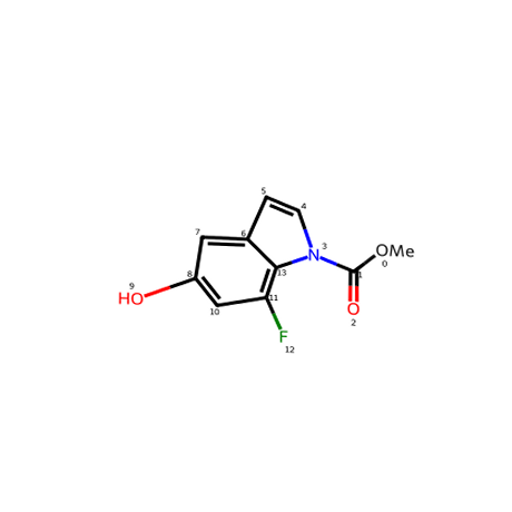 COC(=O)n1ccc2cc(O)cc(F)c21